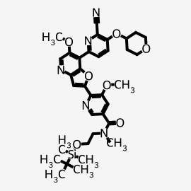 COc1cc(C(=O)N(C)CCO[Si](C)(C)C(C)(C)C)cnc1-c1cc2ncc(OC)c(-c3ccc(OC4CCOCC4)c(C#N)n3)c2o1